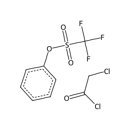 O=C(Cl)CCl.O=S(=O)(Oc1ccccc1)C(F)(F)F